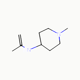 C=C(C)NC1CCN(C)CC1